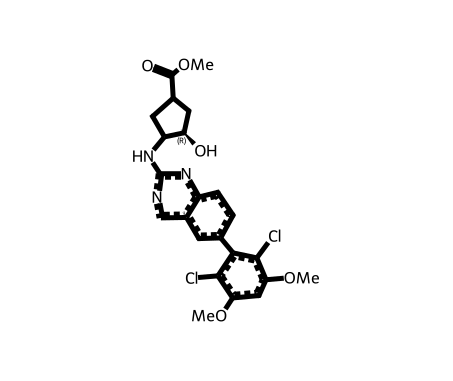 COC(=O)C1CC(Nc2ncc3cc(-c4c(Cl)c(OC)cc(OC)c4Cl)ccc3n2)[C@H](O)C1